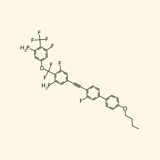 CCCCOc1ccc(-c2ccc(C#Cc3cc(F)c(C(F)(F)Oc4cc(F)c(C(F)(F)F)c(P)c4)c(P)c3)c(F)c2)cc1